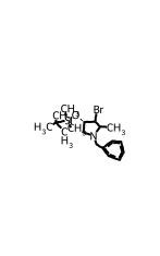 CC1C(Br)[C@@H](O[Si](C)(C)C(C)(C)C)CN1Cc1ccccc1